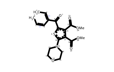 C/C=C\C(=C/C)C(=O)c1sc(N2CCOCC2)c(C(=O)OC)c1C(=O)OC